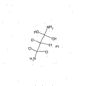 CCC(CC)(C(N)(O)O)C(N)(Cl)Cl.[Pt]